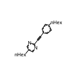 CCCCCCc1ccc(C#Cc2ncc(CCCCCC)cn2)cc1